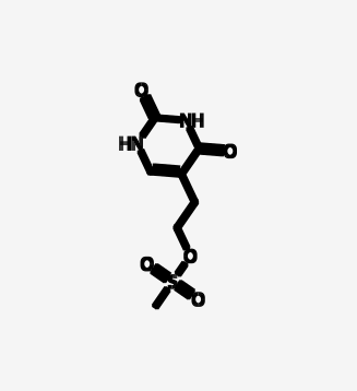 CS(=O)(=O)OCCc1c[nH]c(=O)[nH]c1=O